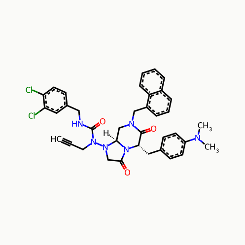 C#CCN(C(=O)NCc1ccc(Cl)c(Cl)c1)N1CC(=O)N2[C@@H](Cc3ccc(N(C)C)cc3)C(=O)N(Cc3cccc4ccccc34)C[C@@H]21